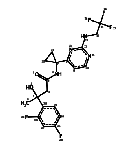 CC(O)(CC(=O)NC1(c2ccnc(NCC(F)(F)F)n2)CC1)c1ccc(F)cc1F